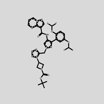 CC(C)(C)OC(=O)N1CC(n2nnnc2Cn2cc(NC(=O)c3cnn4cccnc34)c(-c3cc(OC(F)F)ccc3OC(F)F)n2)C1